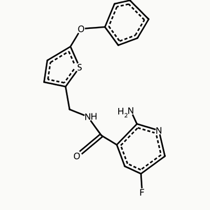 Nc1ncc(F)cc1C(=O)NCc1ccc(Oc2ccccc2)s1